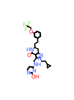 O=C1NC(CCc2cccc(OCC(F)(F)F)c2)Cc2nn(CCC3CC3)c(CNc3ccnc(O)n3)c21